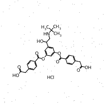 CC(C)(C)NCC(O)c1cc(OC(=O)c2ccc(CC(=O)O)cc2)cc(OC(=O)c2ccc(CC(=O)O)cc2)c1.Cl